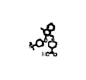 Cc1cc(OC2CCC([Si](C)(C)C)CC2)c(CN2CCC(C(=O)O)CC2)c2ccccc12